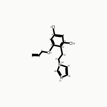 C=CCOc1cc(Cl)cc(Cl)c1CCn1ccnc1